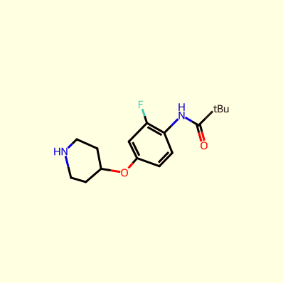 CC(C)(C)C(=O)Nc1ccc(OC2CCNCC2)cc1F